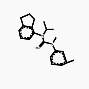 Cc1cccc(N(C)C(=N)N(c2cccc3c2CCC3)C(C)C)c1